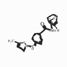 CC1=CCN(Sc2ccc(C(=O)N[C@H]3CN4CCC3CC4)cc2)S1